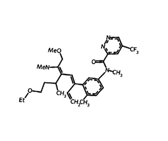 C=C/C(=C\C(=C(/COC)NC)C(C)CCOCC)c1cc(N(C)C(=O)c2cc(C(F)(F)F)cnn2)ccc1C